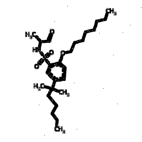 CCCCCCCCOc1ccc(C(C)(C)CCCCC)cc1S(=O)(=O)NC(C)[C]=O